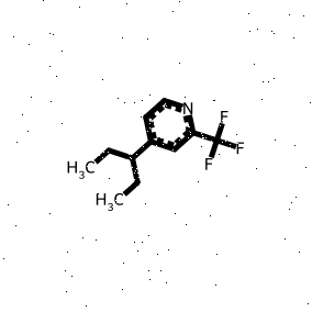 CCC(CC)c1ccnc(C(F)(F)F)c1